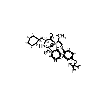 CC(CNc1ccc(OC(F)(F)F)cc1)NC(=O)[C@H](CC1CCCCC1)NS(=O)(=O)c1cccnc1